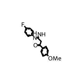 COc1ccc(C(=O)CC(=N)Nc2ccc(F)cc2)cc1